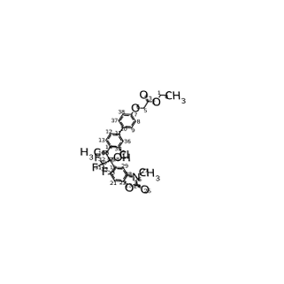 CCOC(=O)COc1ccc(-c2ccc([C@@H](C)[C@@](O)(c3ccc4oc(=O)n(C)c4c3)C(F)(F)F)c(Cl)c2)cc1